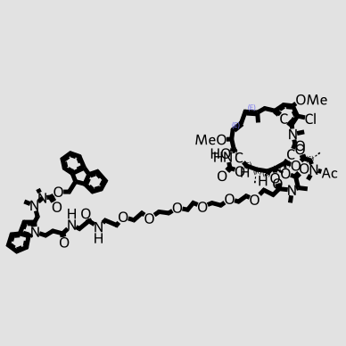 COc1cc2cc(c1Cl)N(C)C(=O)C[C@](OC(=O)C(C)N(C)C(=O)CCOCCOCCOCCOCCOCCOCCNC(=O)CNC(=O)CCn1c(CN(C)N(C)C(=O)OCC3c4ccccc4-c4ccccc43)cc3ccccc31)(OC(=O)[C@H](C)N(C)C(C)=O)[C@]1(C)O[C@H]1[C@H](C)[C@@H]1C[C@@](O)(NC(=O)O1)C(OC)/C=C/C=C(\C)C2